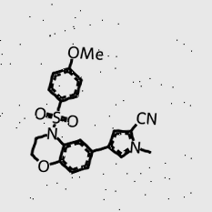 COc1ccc(S(=O)(=O)N2CCOc3ccc(-c4cc(C#N)n(C)c4)cc32)cc1